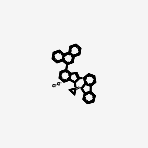 CC1=Cc2c(-c3cc4ccccc4c4ccccc34)cccc2[CH]1[Zr+2]1([CH]2c3ccccc3-c3ccccc32)[CH2][CH2]1.[Cl-].[Cl-]